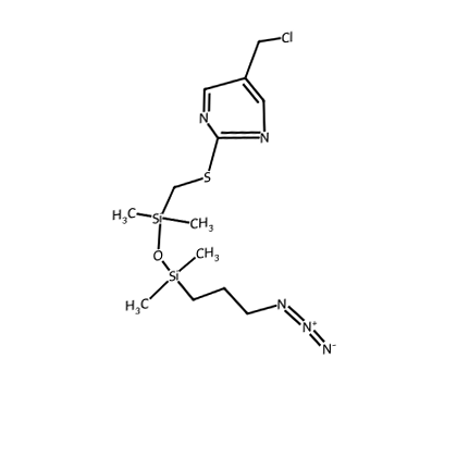 C[Si](C)(CCCN=[N+]=[N-])O[Si](C)(C)CSc1ncc(CCl)cn1